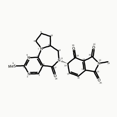 CSc1ncc2c(n1)N1CCCC1CN([C@H]1C=CC3=C(C1=O)C(=O)N(C)C3=O)C2=O